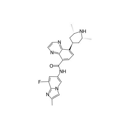 Cc1cn2cc(NC(=O)c3ccc([C@@H]4C[C@@H](C)N[C@@H](C)C4)c4nccnc34)cc(F)c2n1